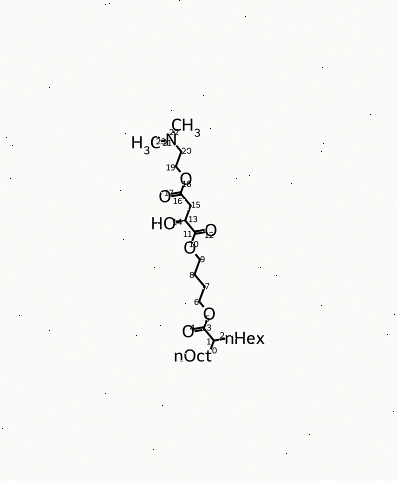 CCCCCCCCC(CCCCCC)C(=O)OCCCCOC(=O)[C@@H](O)CC(=O)OCCN(C)C